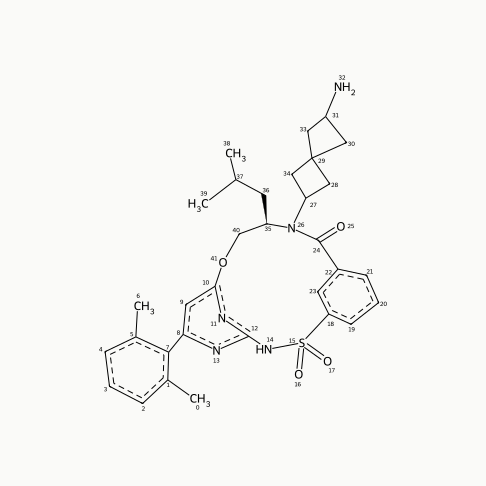 Cc1cccc(C)c1-c1cc2nc(n1)NS(=O)(=O)c1cccc(c1)C(=O)N(C1CC3(CC(N)C3)C1)[C@H](CC(C)C)CO2